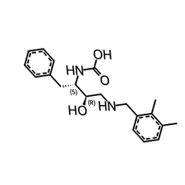 Cc1cccc(CNC[C@@H](O)[C@H](Cc2ccccc2)NC(=O)O)c1C